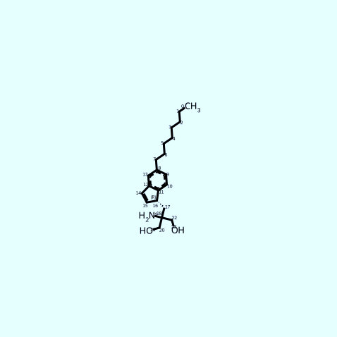 CCCCCCCCc1ccc2c(c1)C=C[C@H]2CC(N)(CO)CO